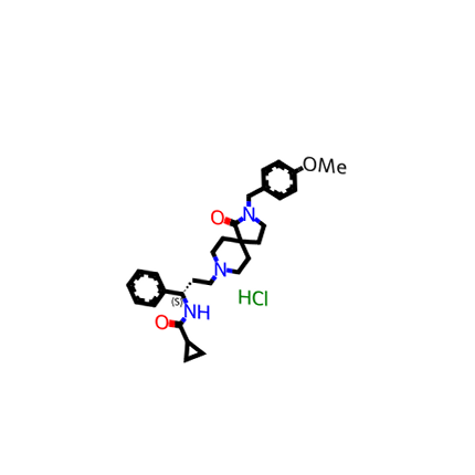 COc1ccc(CN2CCC3(CCN(CC[C@H](NC(=O)C4CC4)c4ccccc4)CC3)C2=O)cc1.Cl